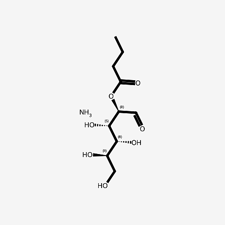 CCCC(=O)O[C@@H](C=O)[C@@H](O)[C@H](O)[C@H](O)CO.N